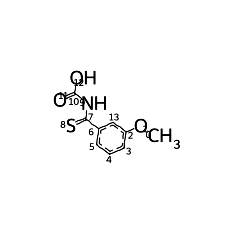 COc1cccc(C(=S)NC(=O)O)c1